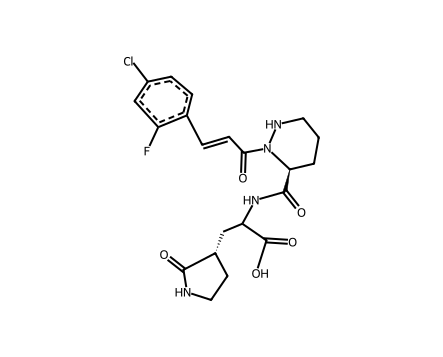 O=C(O)C(C[C@@H]1CCNC1=O)NC(=O)[C@@H]1CCCNN1C(=O)/C=C/c1ccc(Cl)cc1F